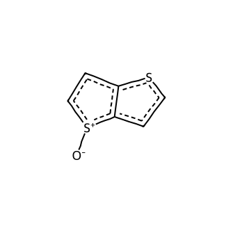 [O-][s+]1ccc2sccc21